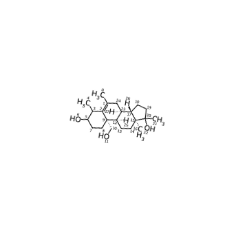 CC1=C2C(C)C(O)CC[C@]2(CO)[C@@H]2CC[C@@]3(C)[C@@H](CCC3(C)O)[C@@H]2C1